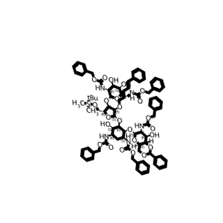 CC(C)(C)[Si](C)(C)OC[C@H]1O[C@@H](O[C@@H]2[C@@H](O)[C@H](NC(=O)OCc3ccccc3)C[C@H](NC(=O)OCc3ccccc3)[C@H]2O[C@H]2O[C@@H]3COC(c4ccccc4)O[C@H]3[C@H](O)[C@H]2NC(=O)OCc2ccccc2)[C@H](OCC=CC=Cc2ccccc2)[C@@H]1O[C@H]1O[C@@H](CNC(=O)OCc2ccccc2)[C@@H](O)[C@H](O)[C@H]1NC(=O)OCc1ccccc1